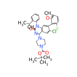 COc1cccc(F)c1-c1cc2c(cc1Cl)c(N1CCN(C(=O)OC(C)(C)C)CC1)nc(=O)n2-c1ccccc1C(C)C